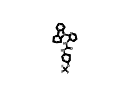 O=C(Nc1ccc(OC(F)(F)F)cc1)Nc1cccnc1-n1c2ccccc2c2ccccc21